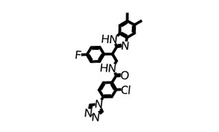 Cc1cc2nc(C(CNC(=O)c3ccc(-n4cnnc4)cc3Cl)c3ccc(F)cc3)[nH]c2cc1C